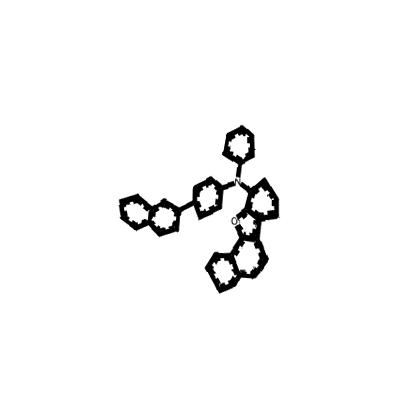 c1ccc(N(c2ccc(-c3ccc4ccccc4c3)cc2)c2cccc3c2oc2c4ccccc4ccc32)cc1